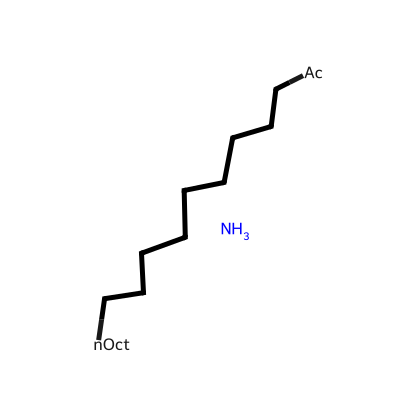 CCCCCCCCCCCCCCCCCC(C)=O.N